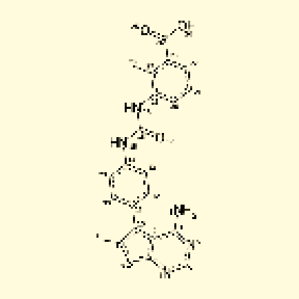 Cc1sc2ncnc(N)c2c1-c1ccc(NC(=O)Nc2cccc(C(=O)O)c2C)cc1